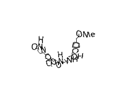 COCCc1ccc(OCC(O)CNC(C)(C)CNC(=O)COc2ccc(C3=NNC(=O)CC3)cc2Cl)cc1